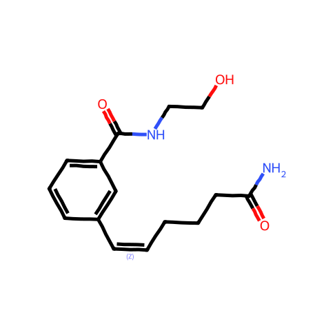 NC(=O)CCC/C=C\c1cccc(C(=O)NCCO)c1